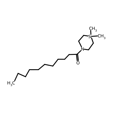 CCCCCCCCCCC(=O)N1CC[Si](C)(C)CC1